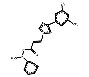 CN(NC(=O)C=Cn1cnc(-c2cc(C(F)(F)F)cc(C(F)(F)F)c2)n1)c1ccccn1